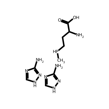 CPCCC(N)C(=O)O.Nc1nc[nH]n1.Nc1nc[nH]n1